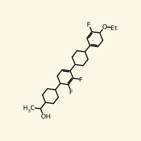 CCOC1CC=C(C2CCC(C3=CCC(C4CCC(C(C)O)CC4)C(F)=C3F)CC2)C=C1F